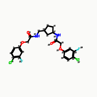 O=C(COc1ccc(Cl)c(F)c1)NCC1CCC(NC(=O)COc2ccc(Cl)c(F)c2)C1